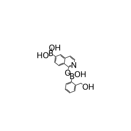 OCc1ccccc1B(O)Oc1nccc2cc(B(O)O)ccc12